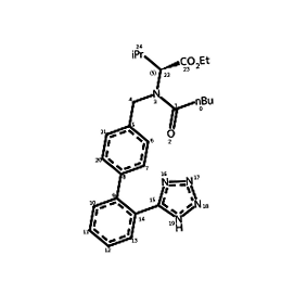 CCCCC(=O)N(Cc1ccc(-c2ccccc2-c2nnn[nH]2)cc1)[C@H](C(=O)OCC)C(C)C